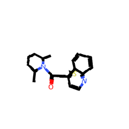 CC1CCCC(C)N1C(=O)C1=C2C=CN=C3C=CC=CC32SC1